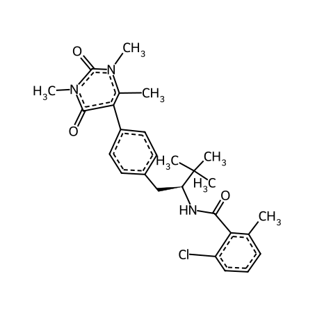 Cc1cccc(Cl)c1C(=O)N[C@@H](Cc1ccc(-c2c(C)n(C)c(=O)n(C)c2=O)cc1)C(C)(C)C